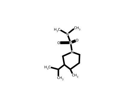 CC(C)C1CN(S(=O)(=O)N(C)C)CCC1C